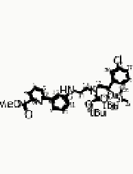 COC(=O)c1cccc(-c2cccc(NCCN(CC(O[Si](C)(C)C(C)(C)C)c3cccc(Cl)c3)C(=O)OC(C)(C)C)c2)n1